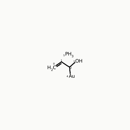 C=C[CH](O)[Au].P